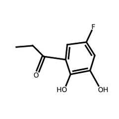 CCC(=O)c1cc(F)cc(O)c1O